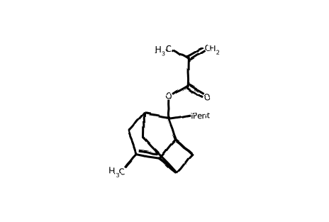 C=C(C)C(=O)OC1(C(C)CCC)C2CC(C)=C3C(C2)CC31